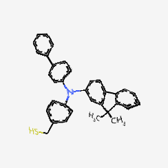 CC1(C)c2ccccc2-c2ccc(N(c3ccc(CS)cc3)c3ccc(-c4ccccc4)cc3)cc21